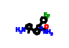 Cc1c(N)cccc1-c1cccc2c1cc(C1=CCC(F)(F)CC1)n2C(N)=O